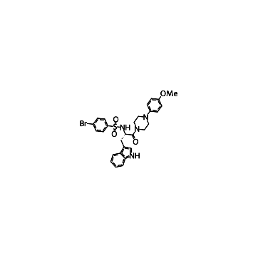 COc1ccc(N2CCN(C(=O)[C@H](Cc3c[nH]c4ccccc34)NS(=O)(=O)c3ccc(Br)cc3)CC2)cc1